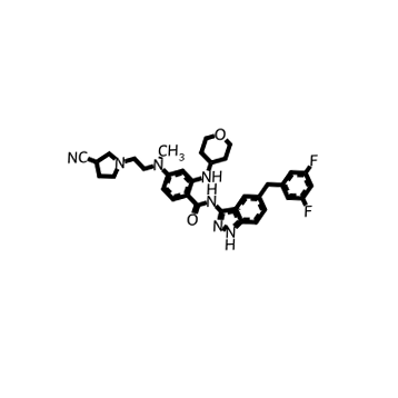 CN(CCN1CCC(C#N)C1)c1ccc(C(=O)Nc2n[nH]c3ccc(Cc4cc(F)cc(F)c4)cc23)c(NC2CCOCC2)c1